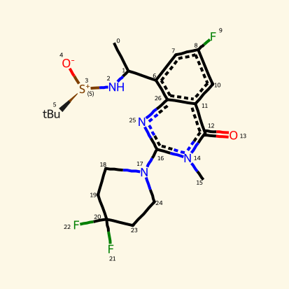 CC(N[S@+]([O-])C(C)(C)C)c1cc(F)cc2c(=O)n(C)c(N3CCC(F)(F)CC3)nc12